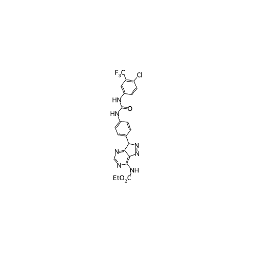 CCOC(=O)Nc1ncnc2c1N=NC2c1ccc(NC(=O)Nc2ccc(Cl)c(C(F)(F)F)c2)cc1